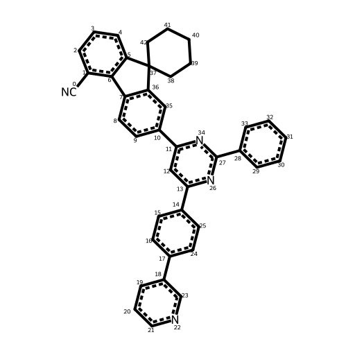 N#Cc1cccc2c1-c1ccc(-c3cc(-c4ccc(-c5cccnc5)cc4)nc(-c4ccccc4)n3)cc1C21CCCCC1